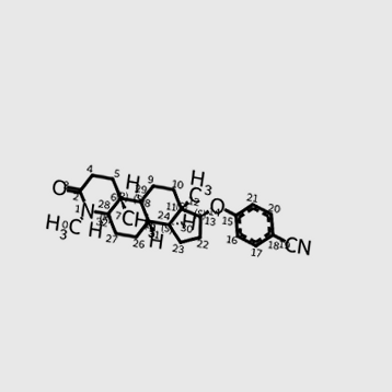 CN1C(=O)CC[C@]2(C)[C@H]3CC[C@]4(C)[C@@H](Oc5ccc(C#N)cc5)CC[C@H]4[C@@H]3CC[C@@H]12